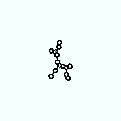 c1ccc(-c2ccc(-n3c4ccc(-c5ccc6c(c5)c5ccccc5n6-c5ccc6ccccc6c5)cc4c4cc5c(cc43)C(c3ccc4ccccc4c3)c3ccccc3-5)cc2)cc1